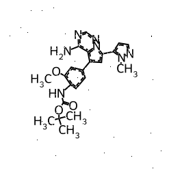 COc1cc(-c2cc(-c3ccnn3C)n3ncnc(N)c23)ccc1NC(=O)OC(C)(C)C